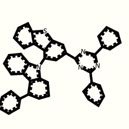 c1ccc(-c2nc(-c3ccccc3)nc(-c3cc(-n4c5ccccc5c5c(-c6ccccc6)cccc54)c4c(c3)sc3ccccc34)n2)cc1